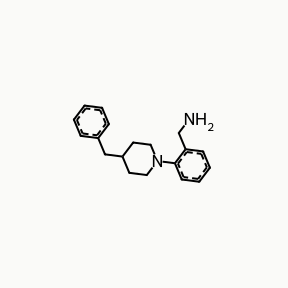 NCc1ccccc1N1CCC(Cc2ccccc2)CC1